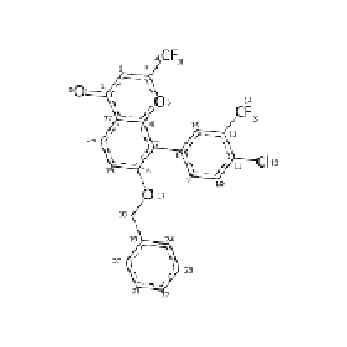 O=c1cc(C(F)(F)F)oc2c(-c3ccc(Cl)c(C(F)(F)F)c3)c(OCc3ccccc3)ccc12